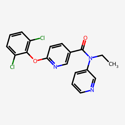 CCN(C(=O)c1ccc(Oc2c(Cl)cccc2Cl)nc1)c1cccnc1